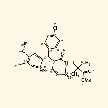 COC(=O)C(C)(C)Cn1c(=O)cc(Nc2ccc(OC(C)C)c(F)c2)n(Cc2ccc(Cl)cc2)c1=O